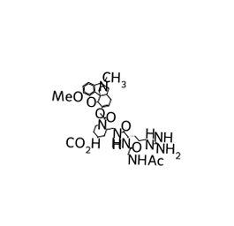 COc1ccc2c3c1OC1C(OC(=O)N4CCC(C(=O)O)CC4CNC(=O)[C@H](CCCNC(=N)N)NC(=O)CNC(C)=O)=CCC4C(C2)N(C)CC[C@]314